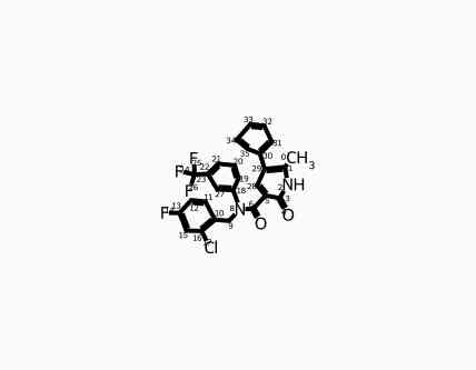 Cc1[nH]c(=O)c(C(=O)N(Cc2ccc(F)cc2Cl)c2cccc(C(F)(F)F)c2)cc1-c1ccccc1